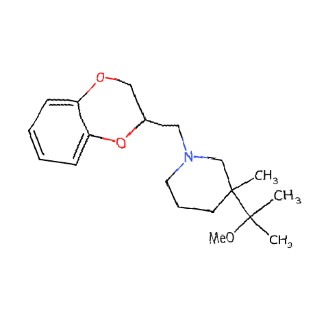 COC(C)(C)C1(C)CCCN(CC2COc3ccccc3O2)C1